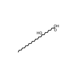 CCCCCCCCCCCCCCCC(O)CCCCCCC(=O)O